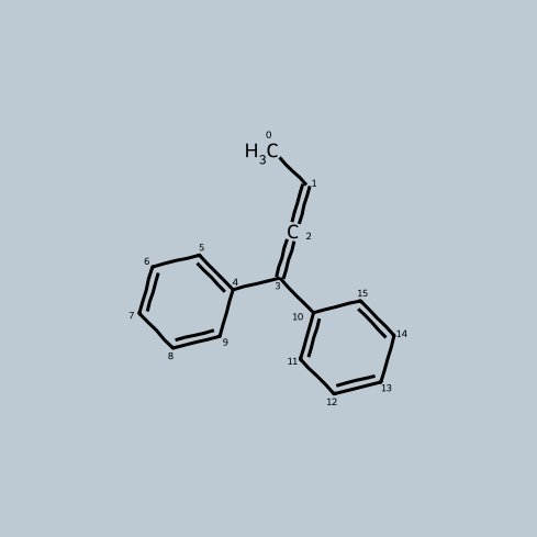 CC=C=C(c1ccccc1)c1ccccc1